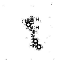 CS(=O)(=O)Nc1cc([C@@H](O)CNCCOc2ccc3c(c2)[nH]c2ccccc23)ccc1Cl